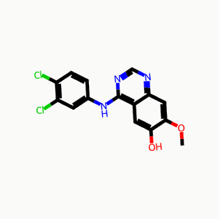 COc1cc2ncnc(Nc3ccc(Cl)c(Cl)c3)c2cc1O